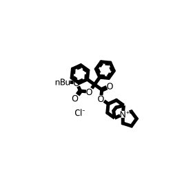 CCCCOC(=O)OC(C(=O)OC1CC2CCC(C1)[N+]21CCCC1)(c1ccccc1)c1ccccc1.[Cl-]